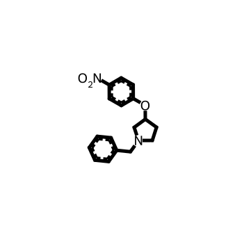 O=[N+]([O-])c1ccc(OC2CCN(Cc3ccccc3)C2)cc1